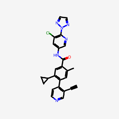 C#Cc1cnccc1-c1cc(C)c(C(=O)Nc2cnc(-n3nccn3)c(Cl)c2)cc1C1CC1